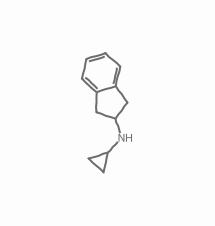 c1ccc2c(c1)CC(NC1CC1)C2